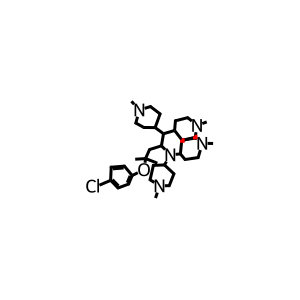 CN1CCC(C(C2CCN(C)CC2)C(CC(C)(C)Oc2ccc(Cl)cc2)N(C2CCN(C)CC2)C2CCN(C)CC2)CC1